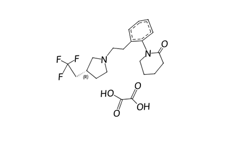 O=C(O)C(=O)O.O=C1CCCCN1c1ccccc1CCN1CC[C@H](CC(F)(F)F)C1